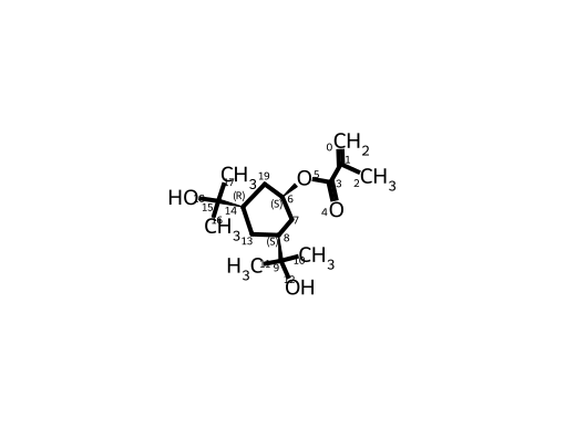 C=C(C)C(=O)O[C@H]1C[C@@H](C(C)(C)O)C[C@@H](C(C)(C)O)C1